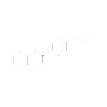 CC(C)(C)/C=C/c1ccc(C(=O)Nc2ccccc2Cl)cc1